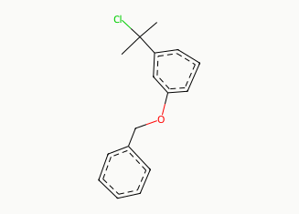 CC(C)(Cl)c1cccc(OCc2ccccc2)c1